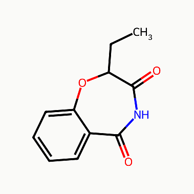 CCC1Oc2ccccc2C(=O)NC1=O